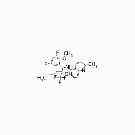 CCSC[C@@](O)([C@H](Nc1cccc2nc(C)ccc12)c1cc(F)cc(F)c1OC)C(F)(F)F